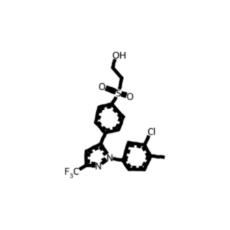 Cc1ccc(-n2nc(C(F)(F)F)cc2-c2ccc(S(=O)(=O)CCO)cc2)cc1Cl